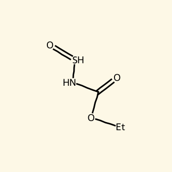 CCOC(=O)N[SH]=O